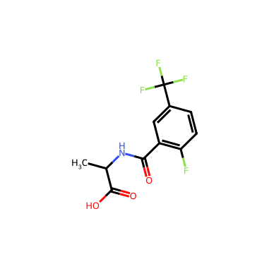 CC(NC(=O)c1cc(C(F)(F)F)ccc1F)C(=O)O